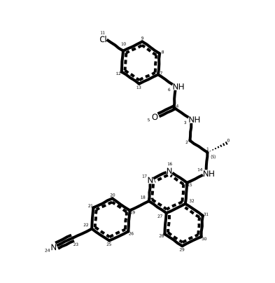 C[C@@H](CNC(=O)Nc1ccc(Cl)cc1)Nc1nnc(-c2ccc(C#N)cc2)c2ccccc12